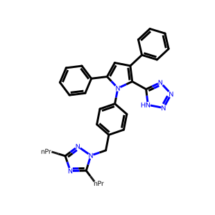 CCCc1nc(CCC)n(Cc2ccc(-n3c(-c4ccccc4)cc(-c4ccccc4)c3-c3nnn[nH]3)cc2)n1